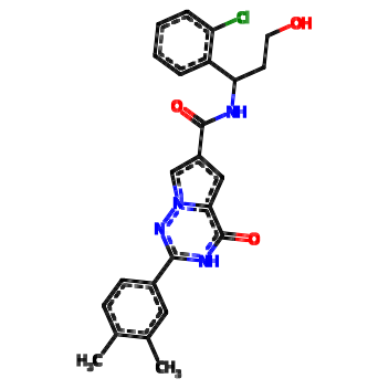 Cc1ccc(-c2nn3cc(C(=O)NC(CCO)c4ccccc4Cl)cc3c(=O)[nH]2)cc1C